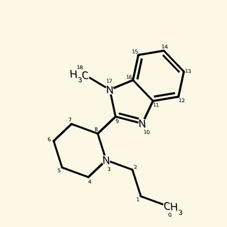 CCCN1CCCCC1c1nc2ccccc2n1C